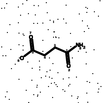 NC(=O)CCC([O])=O